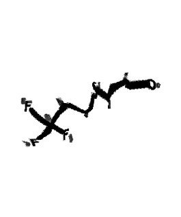 O=CCSCCC(F)(F)F